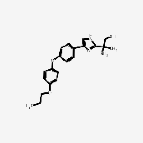 CCCOc1ccc(Oc2ccc(-c3c[nH]c(C(C)(N)CO)n3)cc2)cc1